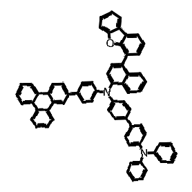 c1ccc(N(c2ccccc2)c2ccc(-c3ccc(N(c4ccc(-c5ccc6c7ccccc7c7ccccc7c6c5)cc4)c4ccc(-c5cccc6c5oc5ccccc56)c5ccccc45)cc3)cc2)cc1